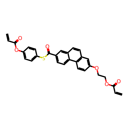 C=CC(=O)OCCOc1ccc2c(ccc3cc(C(=O)Sc4ccc(OC(=O)C=C)cc4)ccc32)c1